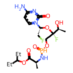 CCC(CC)OC(=O)[C@H](C)N[PH](=O)OC[C@@](F)(O[C@H](CF)n1ccc(N)nc1=O)[C@H](C)O